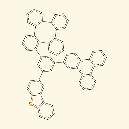 c1ccc2c(c1)-c1ccccc1-c1cccc(-c3cc(-c4ccc5sc6ccccc6c5c4)cc(-c4ccc5c6ccccc6c6ccccc6c5c4)c3)c1-c1ccccc1-2